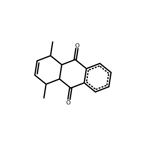 CC1C=CC(C)C2C(=O)c3ccccc3C(=O)C12